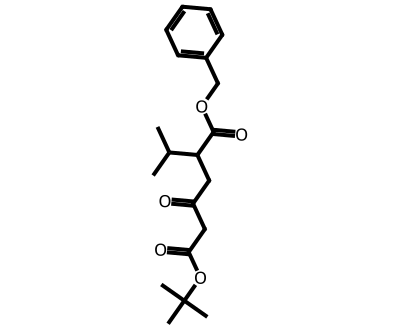 CC(C)C(CC(=O)CC(=O)OC(C)(C)C)C(=O)OCc1ccccc1